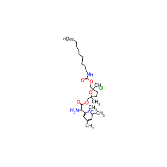 CCCCCCCCCCCCCCCCCCNC(=O)OCC1(C)CCC(C)(COC(=O)C(N)c2cc(C)cc(C)[n+]2C)O1.[Cl-]